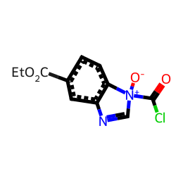 CCOC(=O)c1ccc2c(c1)N=C[N+]2([O-])C(=O)Cl